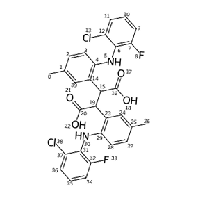 Cc1ccc(Nc2c(F)cccc2Cl)c(C(C(=O)O)C(C(=O)O)c2cc(C)ccc2Nc2c(F)cccc2Cl)c1